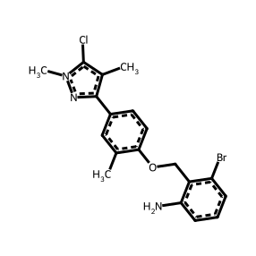 Cc1cc(-c2nn(C)c(Cl)c2C)ccc1OCc1c(N)cccc1Br